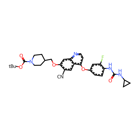 [C-]#[N+]c1cc2c(Oc3ccc(NC(=O)NC4CC4)c(F)c3)ccnc2cc1OCC1CCN(C(=O)OC(C)(C)C)CC1